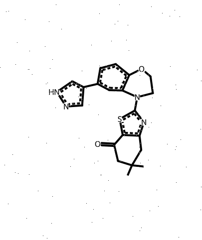 CC1(C)CC(=O)c2sc(N3CCOc4ccc(-c5cn[nH]c5)cc43)nc2C1